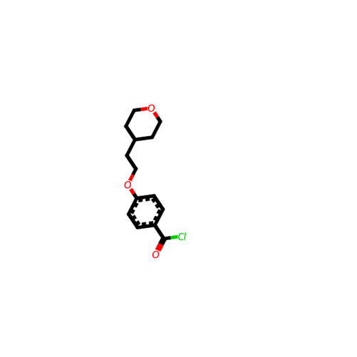 O=C(Cl)c1ccc(OCCC2CCOCC2)cc1